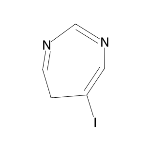 IC1=CN=CN=CC1